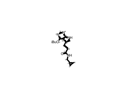 CC(C)COc1ncnc2[nH]cc(C=CC(=O)NCC3CC3)c12